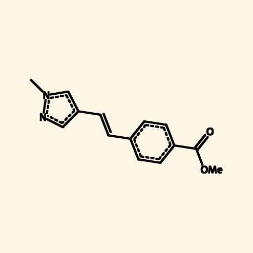 COC(=O)c1ccc(/C=C/c2cnn(C)c2)cc1